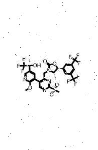 COc1ncc([C@](C)(O)C(F)(F)F)cc1-c1cnc(S(C)(=O)=O)nc1CN1C(=O)O[C@H](c2cc(C(F)(F)F)cc(C(F)(F)F)c2)[C@@H]1C